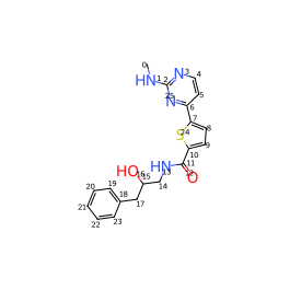 CNc1nccc(-c2ccc(C(=O)NCC(O)Cc3ccccc3)s2)n1